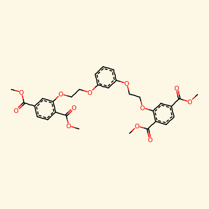 COC(=O)c1ccc(C(=O)OC)c(OCCOc2cccc(OCCOc3cc(C(=O)OC)ccc3C(=O)OC)c2)c1